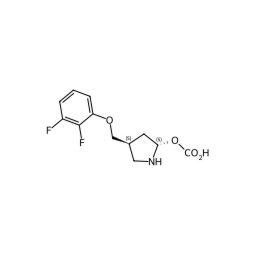 O=C(O)O[C@H]1C[C@H](COc2cccc(F)c2F)CN1